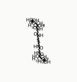 CC(C)(COP(=O)(O)O)[C@@H](O)C(=O)NCCC(=O)NCCSSCCNC(=O)CCNC(=O)[C@H](O)C(C)(C)COP(=O)(O)O